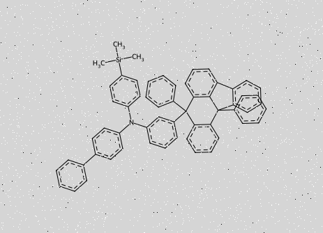 C[Si](C)(C)c1ccc(N(c2ccc(-c3ccccc3)cc2)c2cccc(C3(c4ccccc4)c4ccccc4C4(c5ccccc5)c5ccccc5-c5cccc3c54)c2)cc1